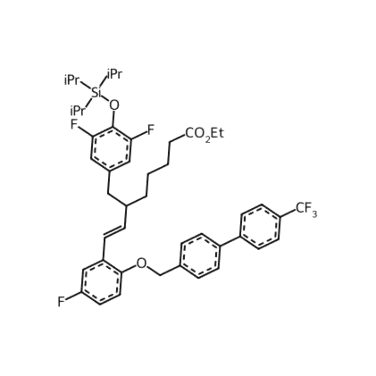 CCOC(=O)CCCCC(C=Cc1cc(F)ccc1OCc1ccc(-c2ccc(C(F)(F)F)cc2)cc1)Cc1cc(F)c(O[Si](C(C)C)(C(C)C)C(C)C)c(F)c1